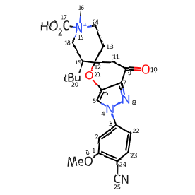 COc1cc(-n2cc3c(n2)C(=O)CC2(CC[N+](C)(C(=O)O)CC2C(C)(C)C)O3)ccc1C#N